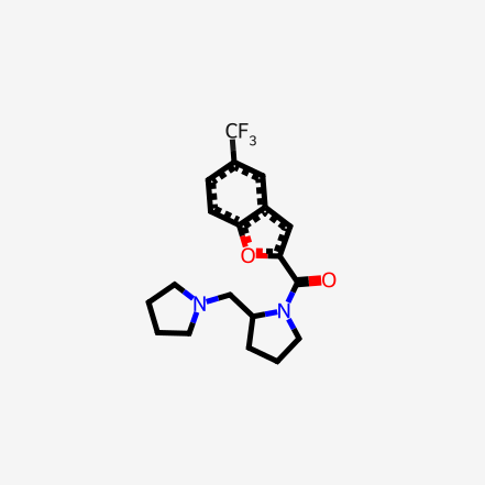 O=C(c1cc2cc(C(F)(F)F)ccc2o1)N1CCCC1CN1CCCC1